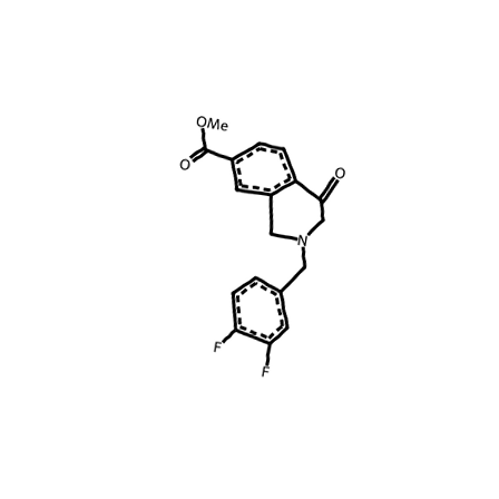 COC(=O)c1ccc2c(c1)CN(Cc1ccc(F)c(F)c1)CC2=O